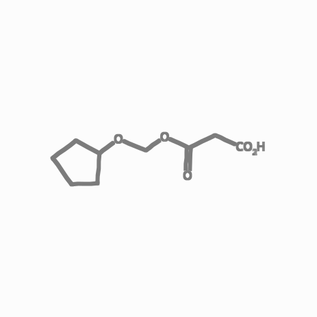 O=C(O)CC(=O)OCOC1CCCC1